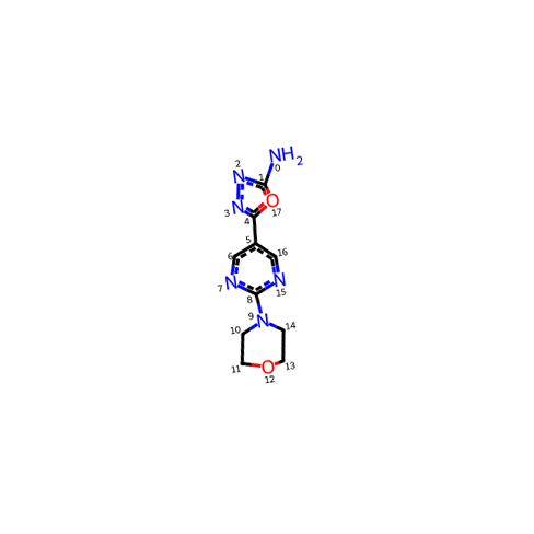 Nc1nnc(-c2cnc(N3CCOCC3)nc2)o1